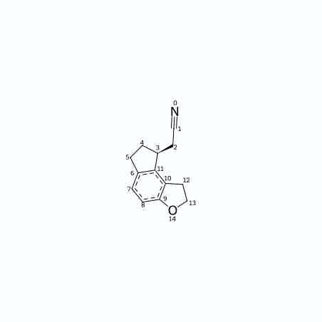 N#CC[C@@H]1CCc2ccc3c(c21)CCO3